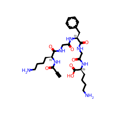 C#CC(=O)N[C@@H](CCCCN)C(=O)NCC(=O)N[C@@H](Cc1ccccc1)C(=O)NCC(=O)N[C@@H](CCCCN)C(=O)O